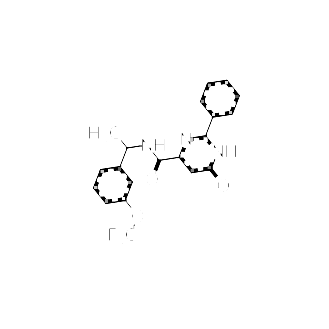 CC(NC(=O)c1cc(=O)[nH]c(-c2ccccc2)n1)c1cccc(OC(F)(F)F)c1